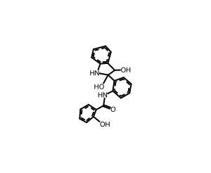 O=C(Nc1ccccc1C1(O)Nc2ccccc2C1O)c1ccccc1O